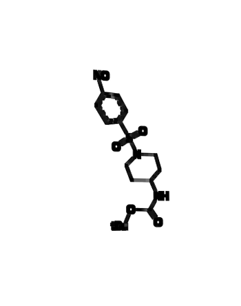 CC(C)(C)OC(=O)NC1CCN(S(=O)(=O)c2ccc(N=O)cc2)CC1